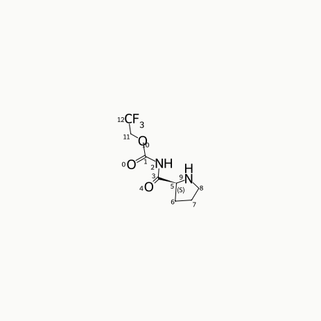 O=C(NC(=O)[C@@H]1CCCN1)OCC(F)(F)F